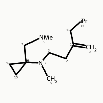 C=C(CCN(C)C1(CNC)CC1)CC(C)C